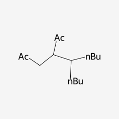 CCCCC(CCCC)C(CC(C)=O)C(C)=O